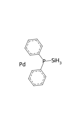 [Pd].[SiH3]P(c1ccccc1)c1ccccc1